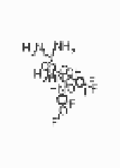 NCCN(CCN)C(=O)C[C@H](N)C(=O)N[C@H](C(=O)Nc1ccc(OCCF)c(F)c1)[C@H](O)c1ccc(C(F)(F)F)cc1